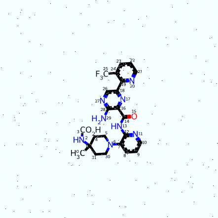 CC1(NC(=O)O)CCN(c2cccnc2NC(=O)c2nc(-c3ncccc3C(F)(F)F)cnc2N)CC1